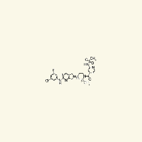 C[C@@H]1C[C@@H](N2Cc3cnc(Nc4cc(F)cc(Cl)c4)nc3C2)CCN1C(=O)c1ccnc(NS(C)(=O)=O)c1